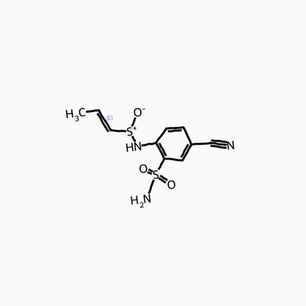 C/C=C/[S+]([O-])Nc1ccc(C#N)cc1S(N)(=O)=O